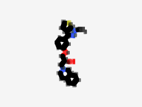 Cn1nc(-c2cccc(OC[C@H](O)CN3CCc4ccccc4C3)c2)c2ccsc21